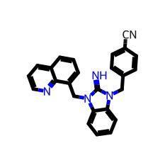 N#Cc1ccc(Cn2c(=N)n(Cc3cccc4cccnc34)c3ccccc32)cc1